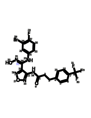 O=C(CCc1ccc(C(F)(F)F)cc1)Nc1nonc1/C(=N\O)Nc1ccc(F)c(Br)c1